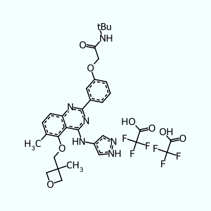 Cc1ccc2nc(-c3cccc(OCC(=O)NC(C)(C)C)c3)nc(Nc3cn[nH]c3)c2c1OCC1(C)COC1.O=C(O)C(F)(F)F.O=C(O)C(F)(F)F